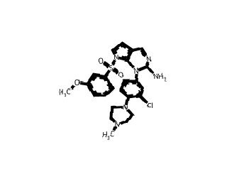 COc1cccc(S(=O)(=O)n2ccc3c2N(c2ccc(N4CCN(C)CC4)c(Cl)c2)C(N)N=C3)c1